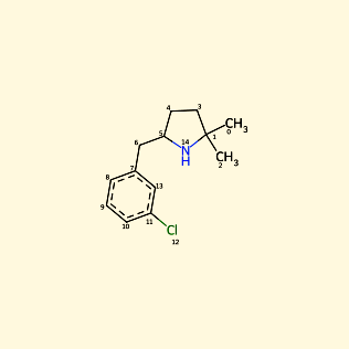 CC1(C)CCC(Cc2cccc(Cl)c2)N1